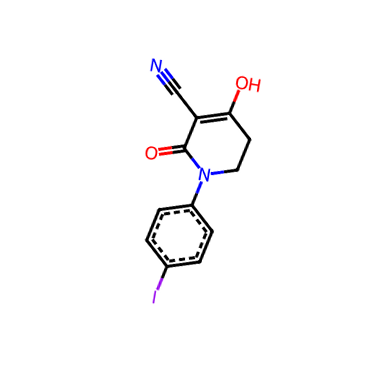 N#CC1=C(O)CCN(c2ccc(I)cc2)C1=O